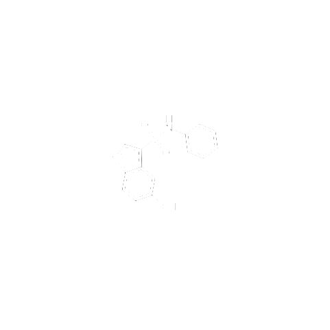 Cc1ccc2scc(S(=O)(=O)Nc3ccccc3)c2c1